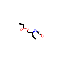 C=CC(=O)OCC(CC)N=C=O